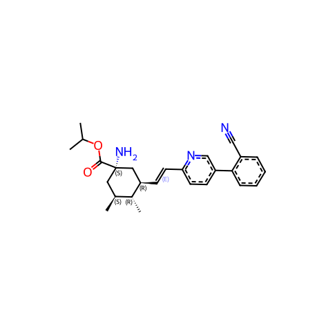 CC(C)OC(=O)[C@@]1(N)C[C@@H](/C=C/c2ccc(-c3ccccc3C#N)cn2)[C@H](C)[C@@H](C)C1